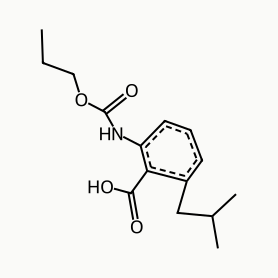 CCCOC(=O)Nc1cccc(CC(C)C)c1C(=O)O